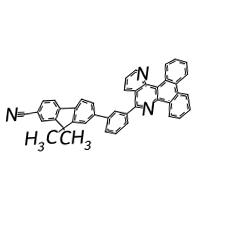 CC1(C)c2cc(C#N)ccc2-c2ccc(-c3cccc(-c4nc5c6ccccc6c6ccccc6c5c5ncccc45)c3)cc21